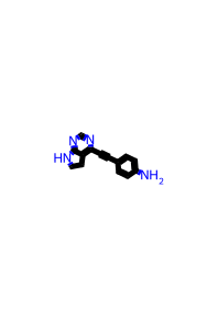 Nc1ccc(C#Cc2ncnc3c2CCN3)cc1